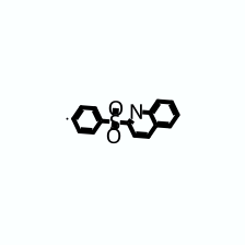 O=S(=O)(c1cc[c]cc1)c1ccc2ccccc2n1